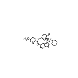 Cc1ccc(COc2ccc3nc(C4CCCCC4C(=O)O)n(Cc4cc(Br)ccc4F)c3c2)nc1